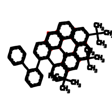 CC(C)(C)c1ccc(-c2ccccc2N(c2ccccc2-c2ccccc2-c2ccccc2-c2ccccc2)c2ccccc2-c2cccc3cccc(-c4cc(C(C)(C)C)cc(C(C)(C)C)c4)c23)cc1